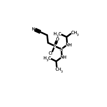 CC(C)NN(NC(C)C)P(=O)(Cl)CCC#N